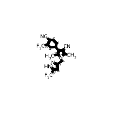 Cc1c(C#N)c(C2C=CC(C#N)=C(C(F)(F)F)C2)c(C)n1Cc1cc(C(F)(F)F)[nH]n1